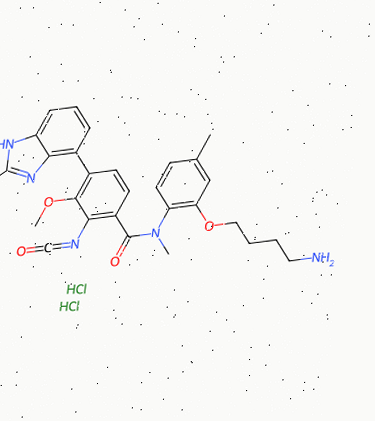 COc1c(-c2cccc3[nH]c(C)nc23)ccc(C(=O)N(C)c2ccc(C)cc2OCCCCN)c1N=C=O.Cl.Cl